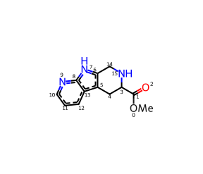 COC(=O)C1Cc2c([nH]c3ncccc23)CN1